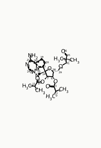 CC(C)C(=O)O[C@H]1[C@@H](OC(=O)C(C)C)[C@](C#N)(c2ccc3c(N)ncnn23)O[C@@H]1COCC(C)(C)C=O